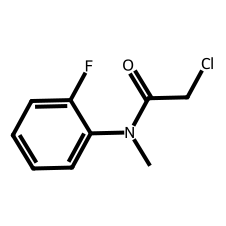 CN(C(=O)CCl)c1ccccc1F